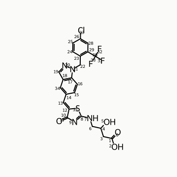 O=C(O)CC(O)CNC1=NC(=O)/C(=C/c2ccc3c(cnn3Cc3ccc(Cl)cc3C(F)(F)F)c2)S1